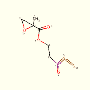 CC1(C(=O)OCCP(=O)=S=S)CO1